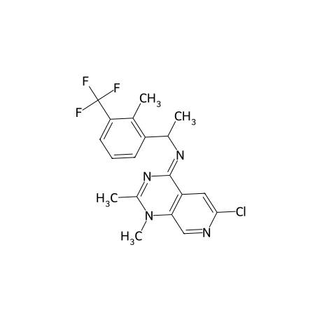 Cc1c(C(C)/N=c2\nc(C)n(C)c3cnc(Cl)cc23)cccc1C(F)(F)F